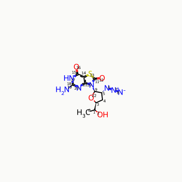 CC(O)[C@@H]1C[C@@H](N=[N+]=[N-])[C@H](n2c(=O)sc3c(=O)[nH]c(N)nc32)O1